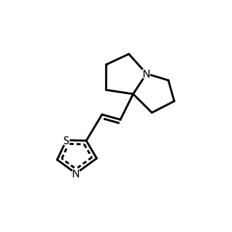 C(=CC12CCCN1CCC2)c1cncs1